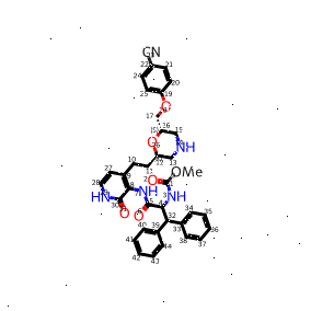 COC(=O)NC(C(=O)Nc1c(CC[C@@H]2CNC[C@@H](COc3ccc(C#N)cc3)O2)cc[nH]c1=O)C(c1ccccc1)c1ccccc1